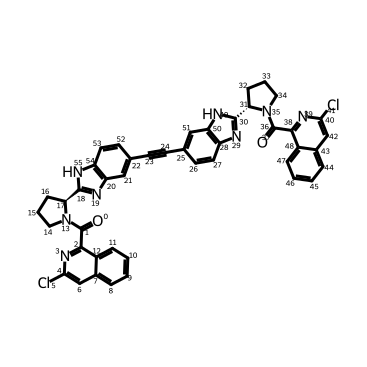 O=C(c1nc(Cl)cc2ccccc12)N1CCC[C@H]1c1nc2cc(C#Cc3ccc4nc([C@@H]5CCCN5C(=O)c5nc(Cl)cc6ccccc56)[nH]c4c3)ccc2[nH]1